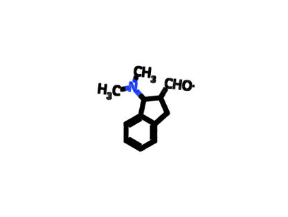 CN(C)C1c2ccccc2CC1[C]=O